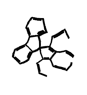 C=CC1=C(/C=C\C)C2(C(/C=C\C)=C1/C=C\C)c1ccccc1-c1ccccc12